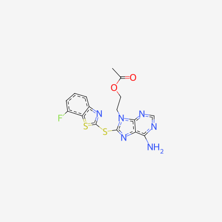 CC(=O)OCCn1c(Sc2nc3cccc(F)c3s2)nc2c(N)ncnc21